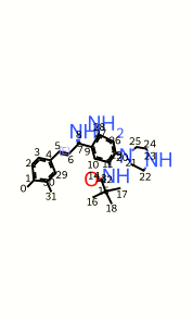 Cc1ccc(/C=C/C(=N)c2cc(NC(=O)C(C)(C)C)c(N3CCNCC3)cc2N)cc1C